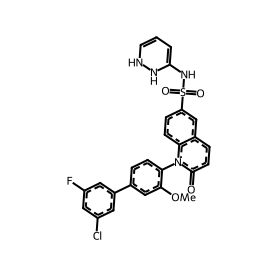 COc1cc(-c2cc(F)cc(Cl)c2)ccc1-n1c(=O)ccc2cc(S(=O)(=O)NC3=CC=CNN3)ccc21